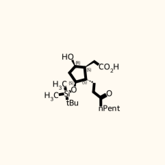 CCCCCC(=O)CC[C@H]1[C@H](CC(=O)O)[C@H](O)C[C@@H]1O[Si](C)(C)C(C)(C)C